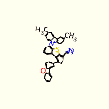 Cc1ccc2c(c1)c1cc(C)ccc1n2-c1cccc2c1sc1c(C#N)ccc(-c3ccc4oc5ccccc5c4c3)c12